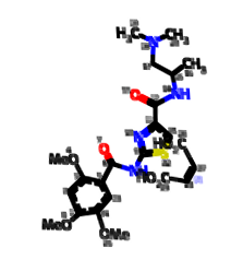 COc1cc(OC)c(C(=O)Nc2nc(C(=O)NC(C)CN(C)C)cs2)cc1OC.O=C(O)/C=C\C(=O)O